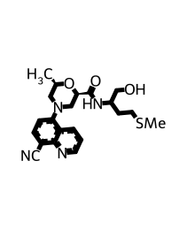 CSCCC(CO)NC(=O)[C@H]1CN(c2ccc(C#N)c3ncccc23)C[C@@H](C)O1